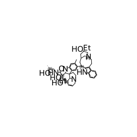 CCC1(O)CC2C[N@](CCc3c([nH]c4ccccc34)[C@@](C)(c3cc4c(cc3C)N(C)C3C45CCN4CC=C[C@](CC)(C45)[C@@H](O)[C@]3(O)C(=O)NC[C@@H](C)O)C2)C1